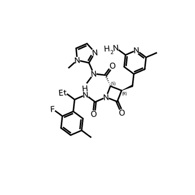 CCC(NC(=O)N1C(=O)[C@H](Cc2cc(C)nc(N)c2)[C@H]1C(=O)N(C)c1nccn1C)c1cc(C)ccc1F